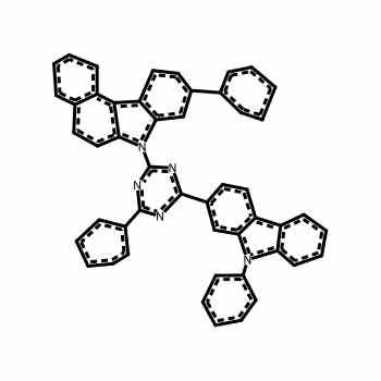 c1ccc(-c2ccc3c4c5ccccc5ccc4n(-c4nc(-c5ccccc5)nc(-c5ccc6c7ccccc7n(-c7ccccc7)c6c5)n4)c3c2)cc1